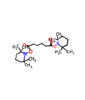 CC1(C)CCCC(C)(C)N1OC(=O)CCCCC(=O)ON1C(C)(C)CCCC1(C)C